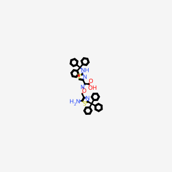 Nc1sc(C(c2ccccc2)(c2ccccc2)c2ccccc2)nc1CON=C(C(=O)O)c1csc(NC(c2ccccc2)(c2ccccc2)c2ccccc2)n1